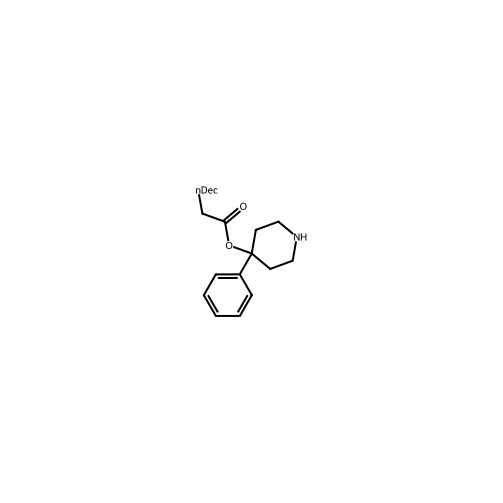 CCCCCCCCCCCC(=O)OC1(c2ccccc2)CCNCC1